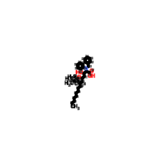 CCCCCCCCCCC[C@H](CC(O)C(C(=O)O)N(Cc1ccccc1)c1ccccc1)O[Si](C)(C)C(C)(C)C